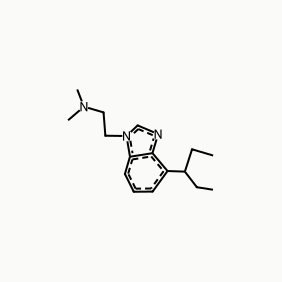 CCC(CC)c1cccc2c1ncn2CCN(C)C